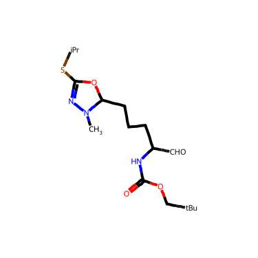 CC(C)SC1=NN(C)C(CCCC(C=O)NC(=O)OCC(C)(C)C)O1